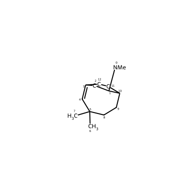 CNC1C/C2=C/C(C)(C)CCC1CC2